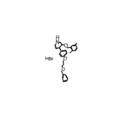 Br.Cc1ccc(C)c(COC2CNCCC2c2ccc(OCCCOCc3ccccc3)cc2)c1